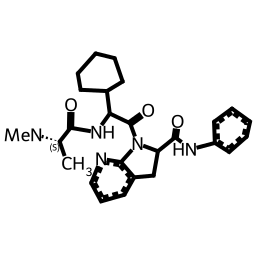 CN[C@@H](C)C(=O)NC(C(=O)N1c2ncccc2CC1C(=O)Nc1ccccc1)C1CCCCC1